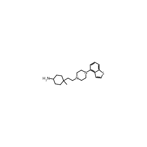 CC1(CCN2CCN(c3cccc4sccc34)CC2)CCC(N)CC1